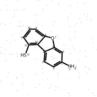 Nc1ccc2c(c1)oc1cccc(S)c12